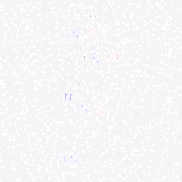 COC(=O)Nc1ccc2c(c1)NC(O)CCCC[C@H](NC(=O)[C@H]1CC[C@H](CN)CC1)c1cc-2ccn1